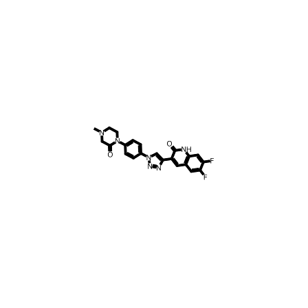 CN1CCN(c2ccc(-n3cc(-c4cc5cc(F)c(F)cc5[nH]c4=O)nn3)cc2)C(=O)C1